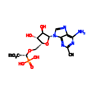 CCOC(=O)[C@H](OC[C@H]1O[C@@H](n2cnc3c(N)nc(C#N)nc32)[C@H](O)[C@H]1O)P(=O)(O)O